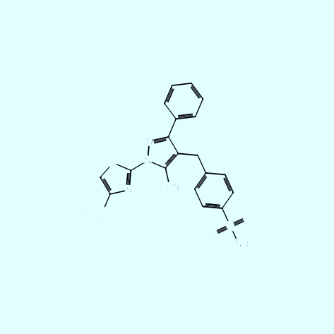 N#Cc1c(Cc2ccc(S(N)(=O)=O)cc2)c(-c2ccccc2)nn1-c1nc(C(=O)O)cs1